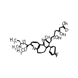 CCC(NC(=O)c1ccc2c(n1)CCCc1c-2nc(C)c(/C=C/[C@@H](O)C[C@@H](O)CC(=O)O)c1-c1ccc(F)cc1)N(C)C